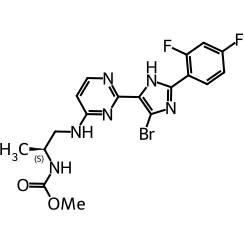 COC(=O)N[C@@H](C)CNc1ccnc(-c2[nH]c(-c3ccc(F)cc3F)nc2Br)n1